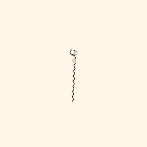 CCCCCCCCCCCCCCCCOCC1=CCCCO1